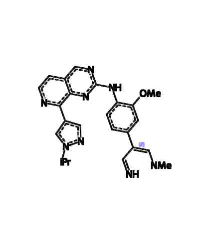 CN/C=C(\C=N)c1ccc(Nc2ncc3ccnc(-c4cnn(C(C)C)c4)c3n2)c(OC)c1